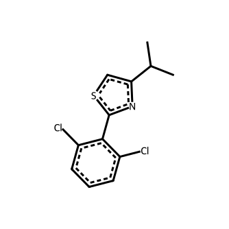 CC(C)c1csc(-c2c(Cl)cccc2Cl)n1